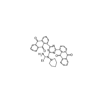 CCC(N)N(c1nc(-c2cccc3c2C(=O)c2ccccc2C3=O)nc(-c2cccc3c2C(=O)c2ccccc2C3=O)n1)N1CCCCC1